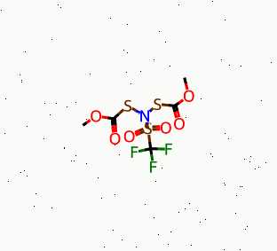 COC(=O)SN(SC(=O)OC)S(=O)(=O)C(F)(F)F